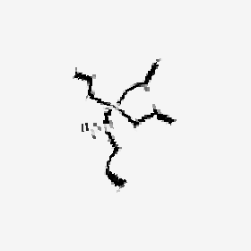 C=CC[SiH2][Si](CC=C)(CC=C)CC=C